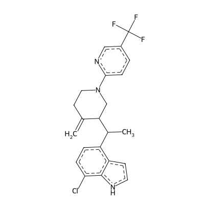 C=C1CCN(c2ccc(C(F)(F)F)cn2)CC1C(C)c1ccc(Cl)c2[nH]ccc12